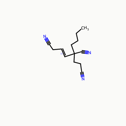 CCCCC(C#N)(/C=C/CC#N)CCC#N